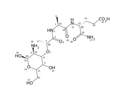 C[C@H](NC(=O)[C@@H](C)OC1C(O)C(CO)O[C@@H](O)[C@H]1N)C(=O)N[C@H](CCC(=O)O)C(N)=O